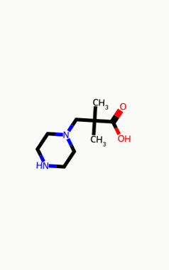 CC(C)(CN1CCNCC1)C(=O)O